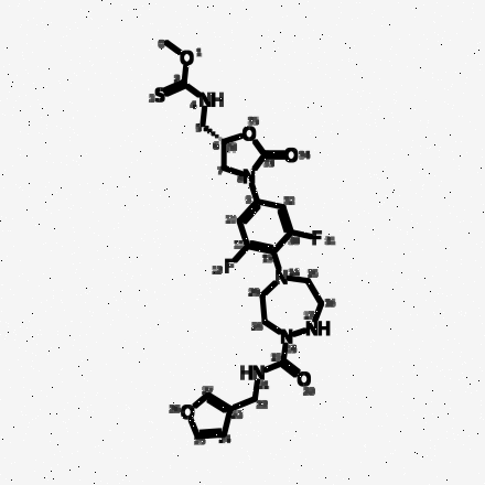 COC(=S)NC[C@H]1CN(c2cc(F)c(N3CCNN(C(=O)NCc4ccoc4)CC3)c(F)c2)C(=O)O1